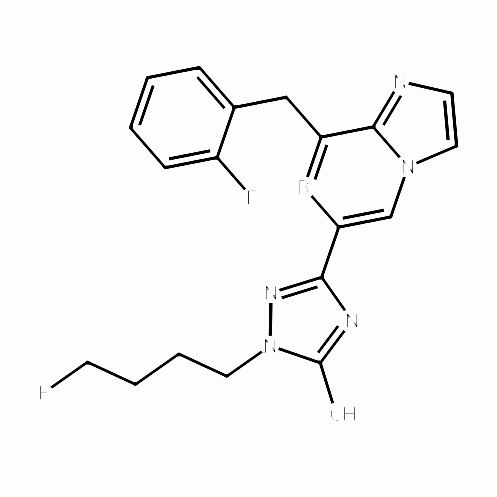 Cc1nc(-c2bc(Cc3ccccc3F)c3nccn3c2)nn1CCCCF